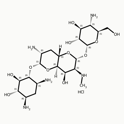 CN[C@@H]1[C@@H](O[C@H]2O[C@H](CO)[C@@H](N)[C@H](O)[C@H]2O)O[C@H]2C[C@@H](N)[C@@H](O[C@H]3[C@H](O)[C@@H](O)[C@H](N)C[C@@H]3N)O[C@@H]2[C@@H]1O.Cl